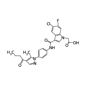 CCCC(=O)c1cnn(-c2ccc(NC(=O)c3cn(CC(=O)O)c4cc(F)c(Cl)cc34)cc2)c1C